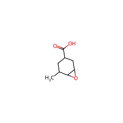 CC1CC(C(=O)O)CC2OC12